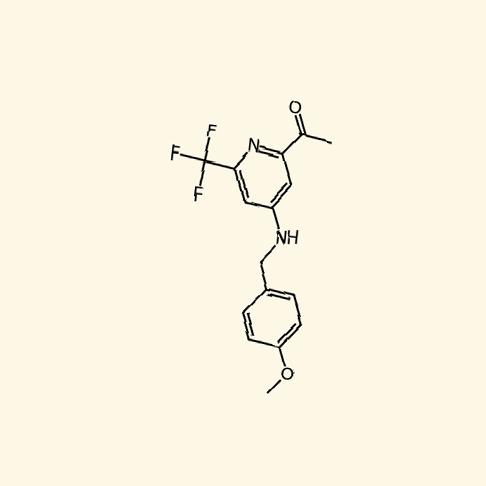 COc1ccc(CNc2cc(C(C)=O)nc(C(F)(F)F)c2)cc1